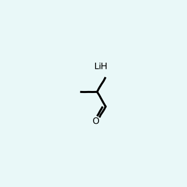 CC(C)C=O.[LiH]